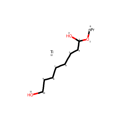 CCCOC(O)CCCCCCCO.[Ti]